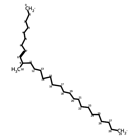 [CH2]CCCCCCC=CC(C)CCCCCCCCCCCCCCCCCC[CH2]